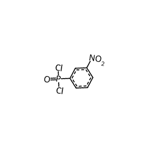 O=[N+]([O-])c1cccc(P(=O)(Cl)Cl)c1